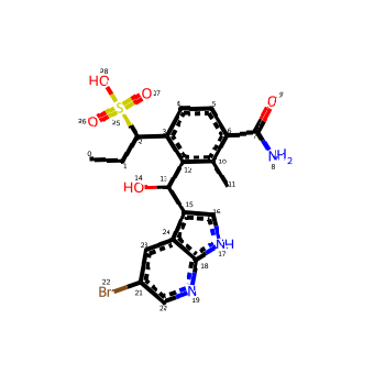 CCC(c1ccc(C(N)=O)c(C)c1C(O)c1c[nH]c2ncc(Br)cc12)S(=O)(=O)O